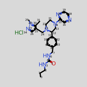 CCCNC(=O)NCc1ccc(C2CN(c3cnccn3)CCN2Cc2cnn(C)c2C)cc1.Cl